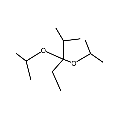 CCC(OC(C)C)(OC(C)C)C(C)C